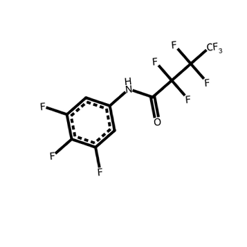 O=C(Nc1cc(F)c(F)c(F)c1)C(F)(F)C(F)(F)C(F)(F)F